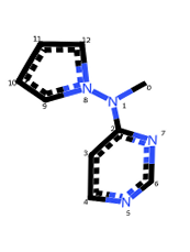 CN(c1ccncn1)n1cccc1